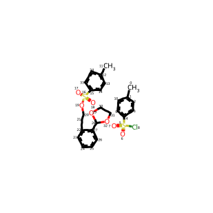 Cc1ccc(S(=O)(=O)Cl)cc1.Cc1ccc(S(=O)(=O)OCCc2ccccc2C2OCCO2)cc1